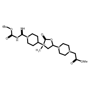 COC(=O)CN1CCN(C2C[N+](C)(C3CCN(C(=N)NC(=O)OC(C)(C)C)CC3)C(=O)O2)CC1